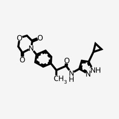 CC(C(=O)Nc1cc(C2CC2)[nH]n1)c1ccc(N2C(=O)COCC2=O)cc1